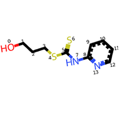 OCCCSC(=S)Nc1ccccn1